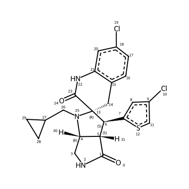 O=C1NC[C@H]2[C@@H]1[C@H](c1cc(Cl)cs1)[C@@]1(Cc3ccc(Cl)cc3NC1=O)N2CC1CC1